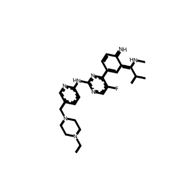 CCN1CCN(Cc2ccc(Nc3ncc(F)c(C4=C/C(=C(/NC)C(C)C)C(=N)C=C4)n3)nc2)CC1